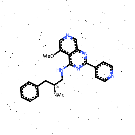 CN[C@H](CNc1nc(-c2ccncc2)nc2cncc(OC)c12)Cc1ccccc1